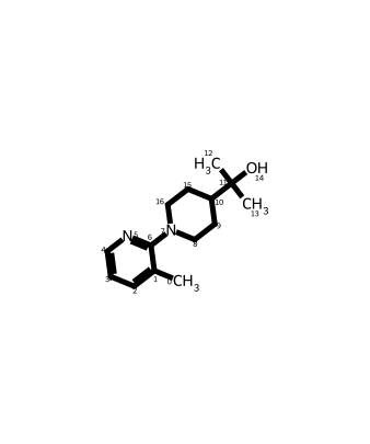 Cc1c[c]cnc1N1CCC(C(C)(C)O)CC1